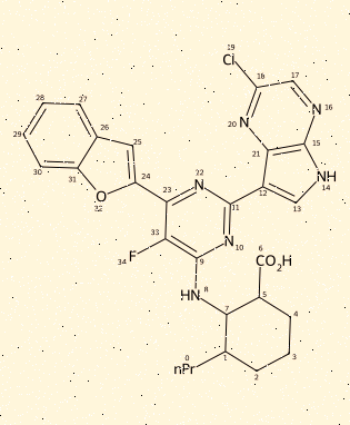 CCCC1CCCC(C(=O)O)C1Nc1nc(-c2c[nH]c3ncc(Cl)nc23)nc(-c2cc3ccccc3o2)c1F